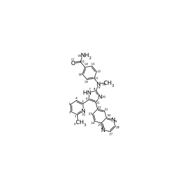 Cc1cccc(-c2[nH]c(N(C)c3ccc(C(N)=O)cc3)nc2-c2ccc3nccnc3c2)n1